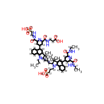 CCCN1/C(=C/C=C/C2=[N+](CCCS(=O)(=O)O)c3c(cc(-c4cc(C(=O)NCC)nc(C(=O)NCC)c4)c4ccccc34)C2(C)C)C(C)(C)c2cc(-c3cc(C(=O)NCCC(=O)O)nc(C(=O)NCCS(=O)(=O)O)c3)c3ccccc3c21